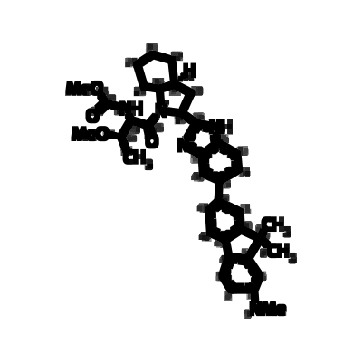 CNc1ccc2c(c1)C(C)(C)c1cc(-c3ccc4[nH]c(C5C[C@@H]6CCCCC6N5C(=O)C(NC(=O)OC)[C@@H](C)OC)nc4c3)ccc1-2